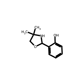 CC1(C)COC(c2ccccc2O)N1